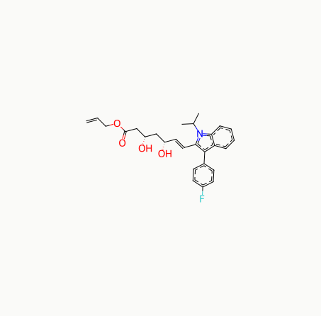 C=CCOC(=O)C[C@@H](O)C[C@@H](O)/C=C/c1c(-c2ccc(F)cc2)c2ccccc2n1C(C)C